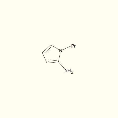 CC(C)n1cccc1N